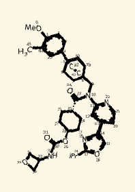 COc1ccc(C23CCC(CN(c4cc(-c5coc(C(C)C)n5)ccn4)C(=O)[C@H]4CC[C@H](OC(=O)NC5COC5)CC4)(CC2)CC3)cc1C